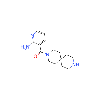 Nc1ncccc1C(=O)N1CCC2(CCNCC2)CC1